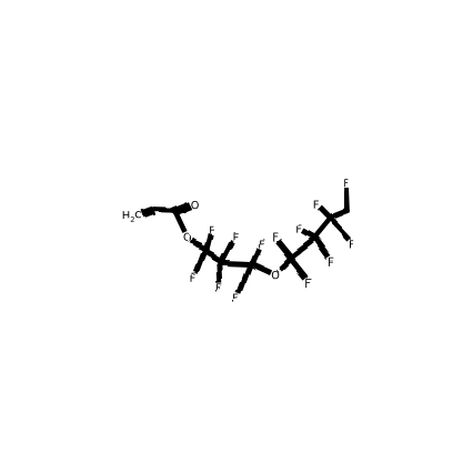 C=CC(=O)OC(F)(F)C(F)(F)C(F)(F)OC(F)(F)C(F)(F)C(F)(F)CF